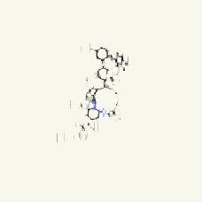 COC(=O)Nc1ccc2/c(c1)=N\C(=O)CCCCC(c1ccc(-c3cc(Cl)ccc3-n3cnnn3)c[n+]1[O-])C1=C/C=2N(O)C=C1F